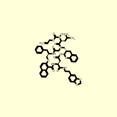 C=CCOC(=O)N(C)[C@@H](CC(C)C)C(=O)N(CC(=O)N[C@@H](COc1ccc2ccccc2c1C(=O)N[C@@H](CC(=O)O)C(=O)NCCc1ccc2c(c1)OCO2)Cc1ccccc1)C[C@H]1COc2ccccc2C1